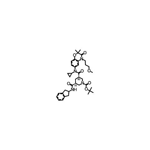 COCCCN1C(=O)C(C)(C)Oc2ccc(N(C(=O)[C@@H]3C[C@H](C(=O)NC4Cc5ccccc5C4)CN(C(=O)OC(C)(C)C)C3)C3CC3)cc21